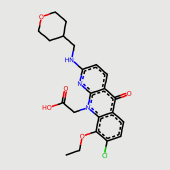 CCOc1c(Cl)ccc2c(=O)c3ccc(NCC4CCOCC4)nc3n(CC(=O)O)c12